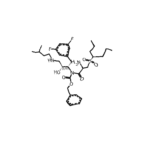 CCCC(CCC)S(=O)(=O)CC(N)C(=O)N(C(=O)OCc1ccccc1)[C@@H](Cc1cc(F)cc(F)c1)[C@H](O)CNCCC(C)C